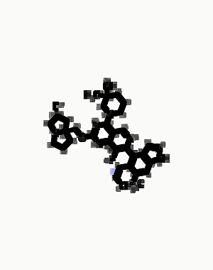 C/C=C\c1c(C(F)(F)F)cc2[nH]ncc2c1-c1ncc2c(N3CCC[C@@](C)(O)C3)nc(OC[C@@]34CCCN3C[C@H](F)C4)nc2c1F